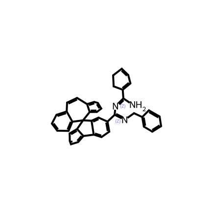 N/C(=N\C(=N/Cc1ccccc1)c1ccc2c(c1)C1(c3ccccc3C=Cc3ccccc31)c1ccccc1-2)C1=CC=CCC1